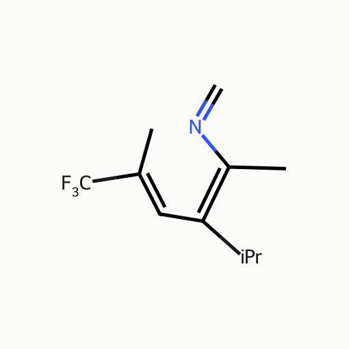 C=N/C(C)=C(\C=C(/C)C(F)(F)F)C(C)C